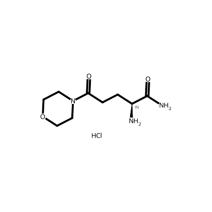 Cl.NC(=O)[C@@H](N)CCC(=O)N1CCOCC1